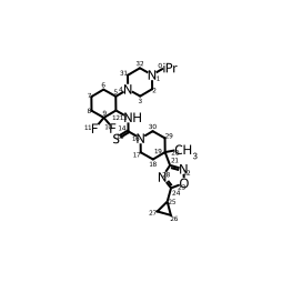 CC(C)N1CCN(C2CCCC(F)(F)C2NC(=S)N2CCC(C)(c3noc(C4CC4)n3)CC2)CC1